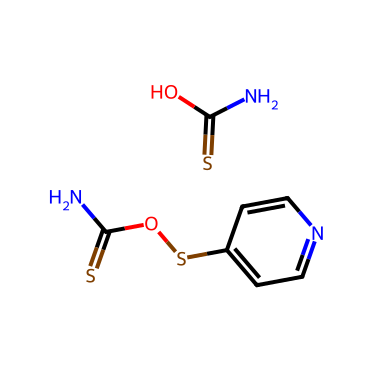 NC(=S)OSc1ccncc1.NC(O)=S